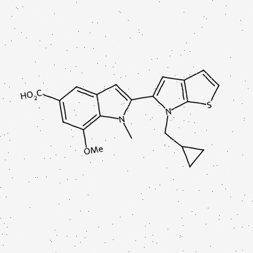 COc1cc(C(=O)O)cc2cc(-c3cc4ccsc4n3CC3CC3)n(C)c12